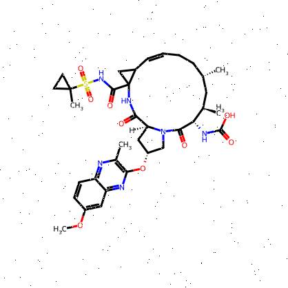 COc1ccc2nc(C)c(O[C@@H]3C[C@H]4C(=O)NC5(C(=O)NS(=O)(=O)C6(C)CC6)CC5/C=C\CC[C@H](C)C[C@@H](C)[C@H](NC(=O)O)C(=O)N4C3)nc2c1